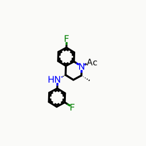 CC(=O)N1c2cc(F)ccc2[C@@H](Nc2cccc(F)c2)C[C@H]1C